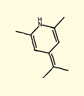 CC1=CC(=C(C)C)C=C(C)N1